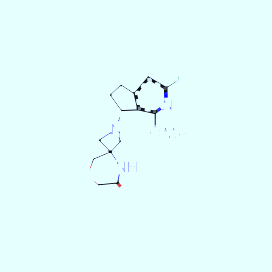 COc1nc(Cl)cc2c1[C@@H](N1CC3(COCC(=O)N3)C1)CC2